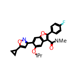 CNC(=O)c1c(-c2ccc(F)cc2)oc2cc(-c3cc(C4CC4)on3)c(OC(C)C)cc12